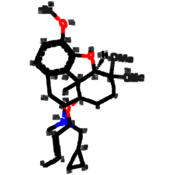 C/C=C/CO[C@@]12CCC(OC)(OC)[C@@H]3Oc4c(OCCCC)ccc(c4C31C)C[C@H]2N(C)CC1CC1